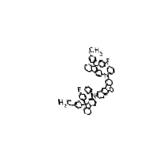 C=CC1=CCC(C2(c3ccc(F)cc3)C3=C(C=CCC3)C3C=CC(N(C4=CC=CCC4)c4ccc5c(c4)=CC4C(C=5)OC5CCC(N(C6=CCCCC6)c6ccc7c(c6)C(C6=CCC(F)C=C6)(C6=CCC(C=C)C=C6)C6=C7CCCC6)CC54)=CC32)CC1